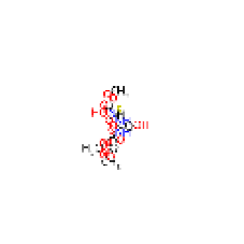 CC(=O)OCC1=C(C(=O)O)N2C(=O)[C@@H](NC(=O)C(NC(=O)c3coc4c(OC(C)=O)c(OC(C)=O)ccc4c3=O)c3ccc(O)cc3)[C@@H]2SC1